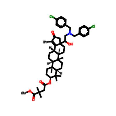 CC(C)C1=C2[C@H]3CC[C@@H]4[C@@]5(C)CC[C@H](OC(=O)CC(C)(C)C(=O)OC(C)(C)C)C(C)(C)[C@@H]5CC[C@@]4(C)[C@]3(C)CCC2(C(O)CN(Cc2ccc(Cl)cc2)Cc2ccc(Cl)cc2)CC1=O